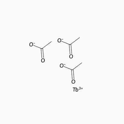 CC(=O)[O-].CC(=O)[O-].CC(=O)[O-].[Tb+3]